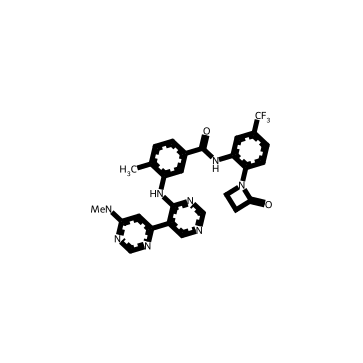 CNc1cc(-c2cncnc2Nc2cc(C(=O)Nc3cc(C(F)(F)F)ccc3N3CCC3=O)ccc2C)ncn1